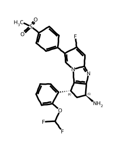 CS(=O)(=O)c1ccc(-c2cn3c4c(nc3cc2F)[C@@H](N)C[C@@H]4c2ccccc2OC(F)F)cc1